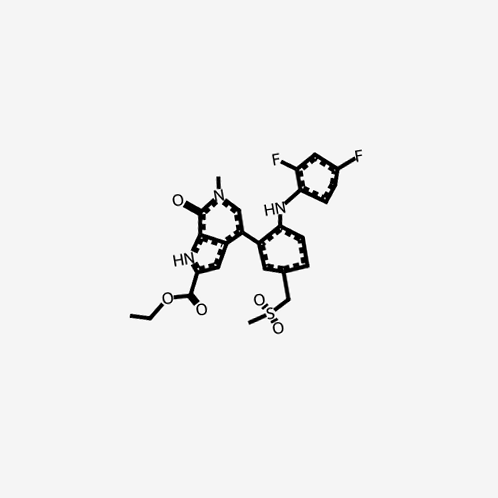 CCOC(=O)c1cc2c(-c3cc(CS(C)(=O)=O)ccc3Nc3ccc(F)cc3F)cn(C)c(=O)c2[nH]1